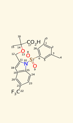 Cc1cc(C)cc(S(=O)(=O)n2c(COC(C)(C)C(=O)O)cc3cc(C(F)(F)F)ccc32)c1